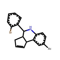 CC(=O)c1ccc2c(c1)C1C=CCC1C(c1ccccc1Br)N2